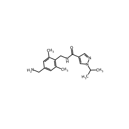 Cc1cc(CN)cc(C)c1CNC(=O)c1cnn(C(C)C)c1